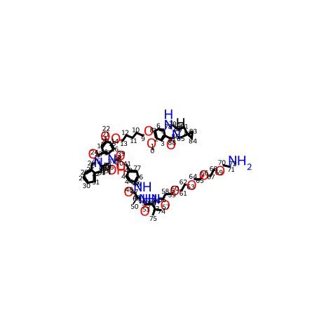 COc1cc2c(cc1OCCCCCOc1cc3c(cc1OC)C(=O)N1Cc4ccccc4C[C@H]1[C@H](O)N3C(=O)OCc1ccc(NC(=O)[C@H](C)NC(=O)[C@@H](NC(=O)CCOCCOCCOCCOCCN)C(C)C)cc1)NC[C@@H]1CC3(CC3)CN1C2=O